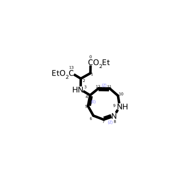 CCOC(=O)CC(NC1=C/C/C=N\NC/C=C\1)C(=O)OCC